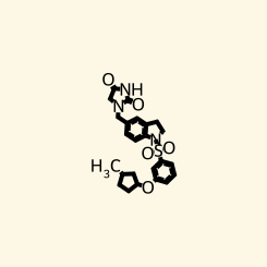 CC1CCC(Oc2cccc(S(=O)(=O)N3CCc4cc(CN5CC(=O)NC5=O)ccc43)c2)C1